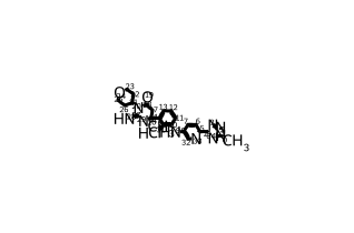 Cn1nnc(-c2ccc(Nc3cccc([C@]4(C)CC(=O)N(C5CCOCC5)C(=N)N4)c3Cl)cn2)n1